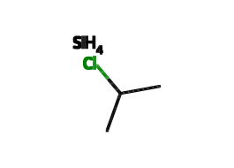 CC(C)Cl.[SiH4]